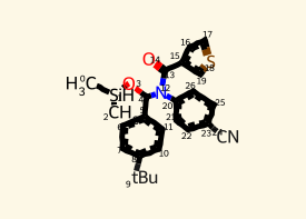 C[SiH](C)OC(c1ccc(C(C)(C)C)cc1)N(C(=O)c1ccsc1)c1ccc(C#N)cc1